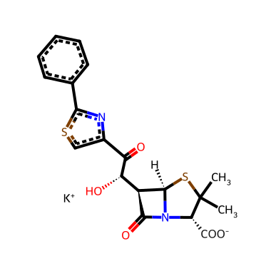 CC1(C)S[C@@H]2[C@H]([C@H](O)C(=O)c3csc(-c4ccccc4)n3)C(=O)N2[C@H]1C(=O)[O-].[K+]